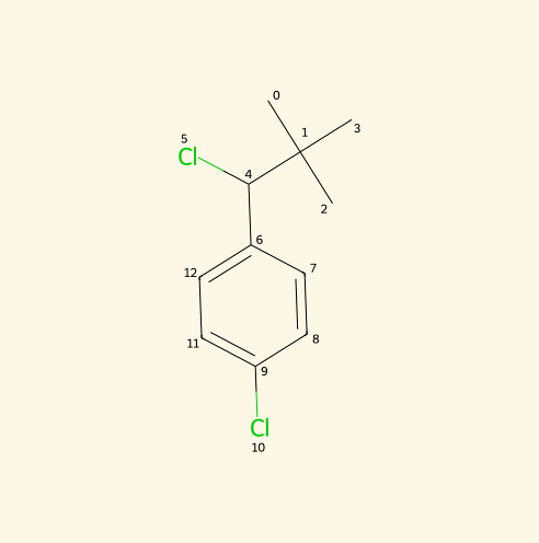 CC(C)(C)C(Cl)c1ccc(Cl)cc1